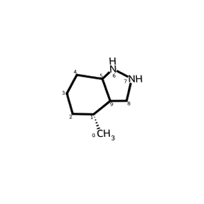 C[C@@H]1CCCC2NNCC21